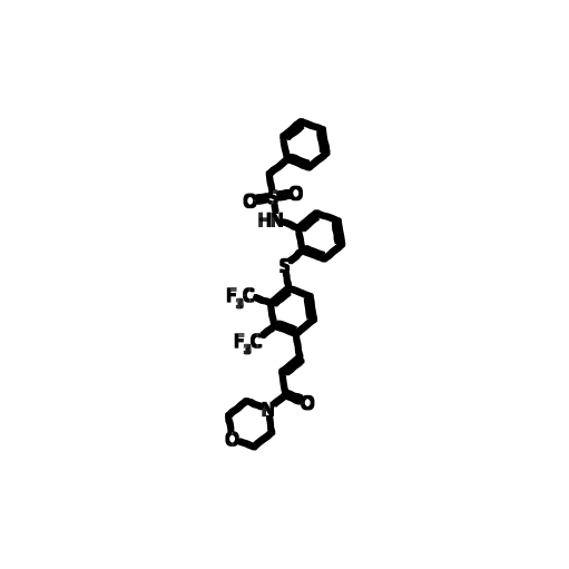 O=C(C=Cc1ccc(Sc2ccccc2NS(=O)(=O)Cc2ccccc2)c(C(F)(F)F)c1C(F)(F)F)N1CCOCC1